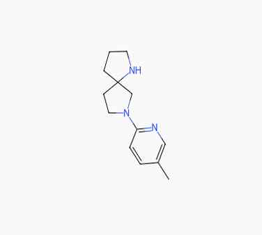 Cc1ccc(N2CCC3(CCCN3)C2)nc1